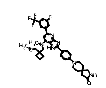 COCC1(CN(C)c2cc(-c3cc(F)cc(C(F)(F)F)c3)nc3nc(-c4ccc(N5CCC6(CC5)CNC(=O)C6)cc4)[nH]c23)CCC1